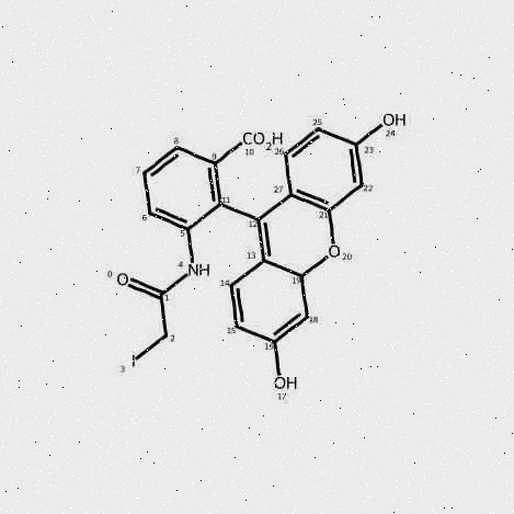 O=C(CI)Nc1cccc(C(=O)O)c1C1=C2C=CC(O)=CC2Oc2cc(O)ccc21